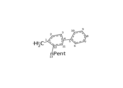 [CH2]c1ccc(-c2ccccc2)cc1CCCCC